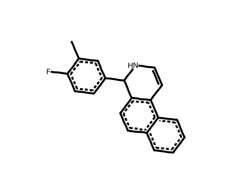 Cc1cc(C2NC=Cc3c2ccc2ccccc32)ccc1F